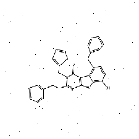 O=c1c2c(nc(CCc3ccccc3)n1Cc1cccs1)sc1c(O)ccc(Cc3ccccc3)c12